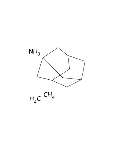 C.C.C1C2CC3CC1CC(C2)C3.N